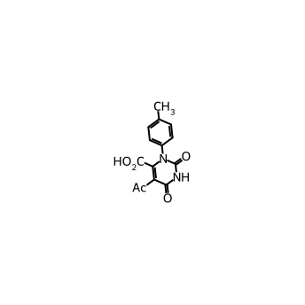 CC(=O)c1c(C(=O)O)n(-c2ccc(C)cc2)c(=O)[nH]c1=O